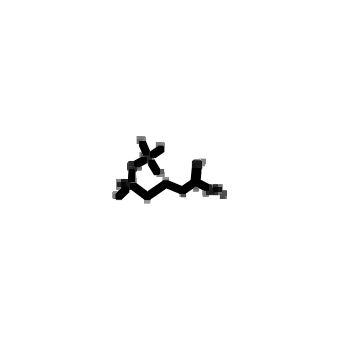 C[SiH](CCCC(N)=O)O[Si](C)(C)C